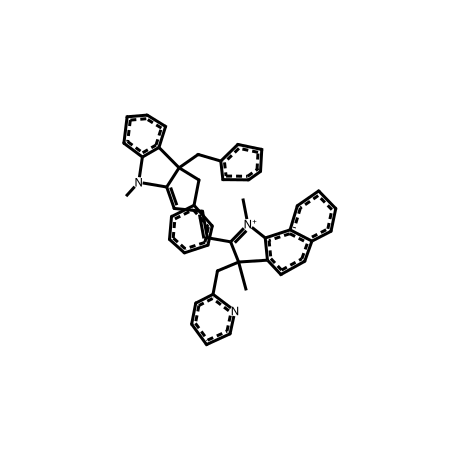 CN1/C(=C/C=C/C2=[N+](C)c3c(ccc4ccccc34)C2(C)Cc2ccccn2)C(Cc2ccccc2)(Cc2ccccc2)c2ccccc21